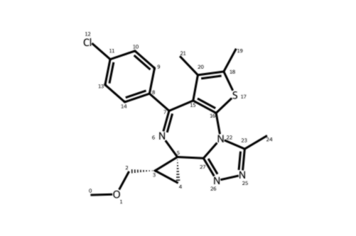 COC[C@H]1C[C@@]12N=C(c1ccc(Cl)cc1)c1c(sc(C)c1C)-n1c(C)nnc12